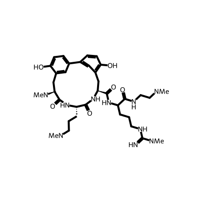 CNCCC[C@@H]1NC(=O)[C@@H](NC)Cc2cc(ccc2O)-c2ccc(O)c(c2)C[C@@H](C(=O)NC(CCCNC(=N)NC)C(=O)NCCNC)NC1=O